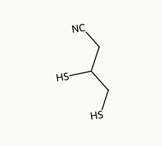 N#CCC(S)CS